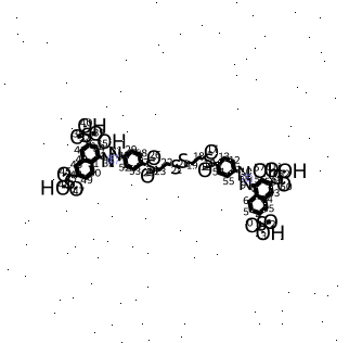 O=S(=O)(O)c1ccc2c(/N=N/c3ccc(S(=O)(=O)CCSSCCS(=O)(=O)c4ccc(/N=N/c5c(O)c(S(=O)(=O)O)cc6cc(S(=O)(=O)O)ccc56)cc4)cc3)c(O)c(S(=O)(=O)O)cc2c1